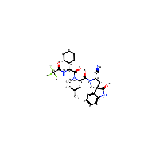 CC(C)C[C@@H](C(=O)N1C[C@]2(C[C@H]1C#N)C(=O)Nc1ccccc12)N(C)C(=O)C(NC(=O)C(F)(F)F)C1CCCCC1